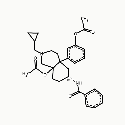 CC(=O)Oc1cccc(C23CCN(CC4CC4)CC2(OC(C)=O)CC[C@@H](NC(=O)c2ccccc2)C3)c1